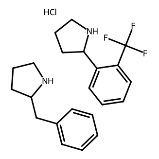 Cl.FC(F)(F)c1ccccc1C1CCCN1.c1ccc(CC2CCCN2)cc1